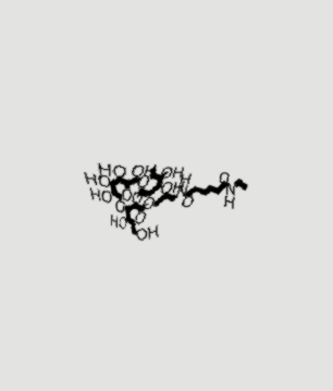 CCNC(=O)CCCCC(=O)NCCCO[C@@H]1OC(CO)[C@H](O)C(O[C@H]2OC(CO)[C@H](O)[C@H](O)C2O)[C@@H]1O[C@H]1C[C@@H](O)[C@H](O)C(C)O1